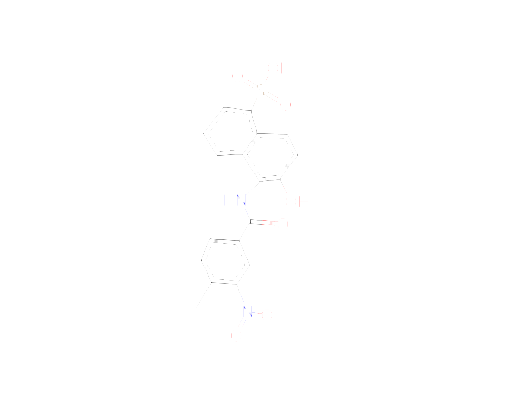 Cc1ccc(C(=O)Nc2c(O)ccc3c(S(=O)(=O)O)cccc23)cc1[N+](=O)[O-]